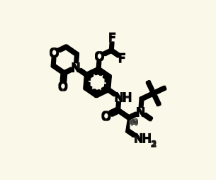 CN(CC(C)(C)C)[C@@H](CN)C(=O)Nc1ccc(N2CCOCC2=O)c(OC(F)F)c1